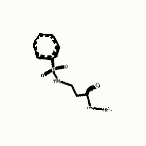 NNC(=O)CCNS(=O)(=O)c1ccccc1